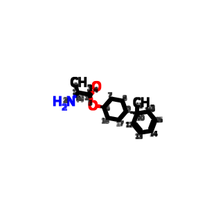 C[C@H](N)C(=O)O[C@H]1CC[C@H](C2(C)C=CC=CC2)CC1